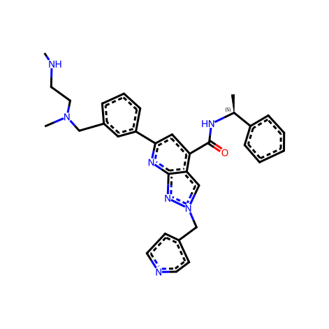 CNCCN(C)Cc1cccc(-c2cc(C(=O)N[C@@H](C)c3ccccc3)c3cn(Cc4ccncc4)nc3n2)c1